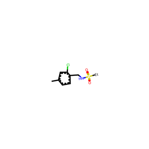 CCS(=O)(=O)NCc1ccc(C)cc1Cl